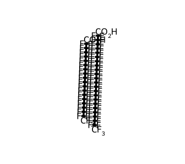 O=C(O)C(F)(F)C(F)(F)C(F)(F)C(F)(F)C(F)(F)C(F)(F)C(F)(F)C(F)(F)C(F)(F)C(F)(F)C(F)(F)C(F)(F)C(F)(F)C(F)(F)C(F)(F)C(F)(F)C(F)(F)C(F)(F)C(F)(F)C(F)(F)C(F)(F)C(F)(F)C(F)(F)F.O=C(O)C(F)(F)C(F)(F)C(F)(F)C(F)(F)C(F)(F)C(F)(F)C(F)(F)C(F)(F)C(F)(F)C(F)(F)C(F)(F)C(F)(F)C(F)(F)C(F)(F)C(F)(F)C(F)(F)C(F)(F)C(F)(F)C(F)(F)F